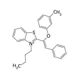 CCCC[n+]1c(C(=Cc2ccccc2)Oc2cccc(C)c2)sc2ccccc21